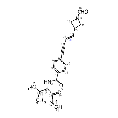 C[C@@H](O)[C@H](NC(=O)c1ccc(C#C/C=C/C2CN(C=O)C2)cc1)C(=O)NO